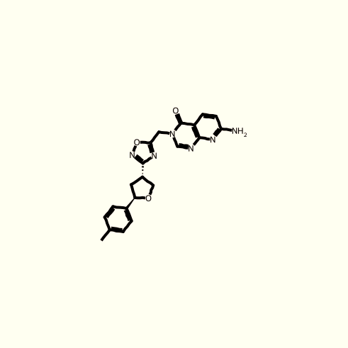 Cc1ccc([C@H]2C[C@H](c3noc(Cn4cnc5nc(N)ccc5c4=O)n3)CO2)cc1